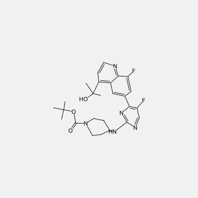 CC(C)(C)OC(=O)N1CCC(Nc2ncc(F)c(-c3cc(F)c4nccc(C(C)(C)O)c4c3)n2)CC1